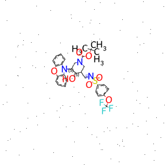 CC(C)(C)OC(=O)N1CC(/C=N/S(=O)(=O)c2ccc(OC(F)(F)F)cc2)[C@H](O)[C@@H](N2c3ccccc3Oc3ccccc32)C1